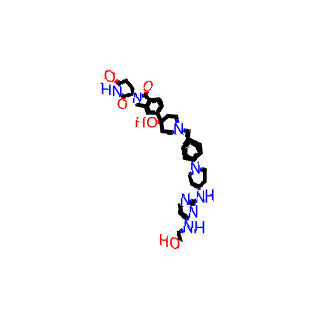 O=C1CCC(N2Cc3cc(C4(O)CCN(Cc5ccc(N6CCC(Nc7nccc(NCCO)n7)CC6)cc5)CC4)ccc3C2=O)C(=O)N1